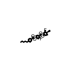 C#Cc1ccc(OC(=O)c2ccc(OC(=O)c3ccc(CCCCC)cc3)cc2F)cc1F